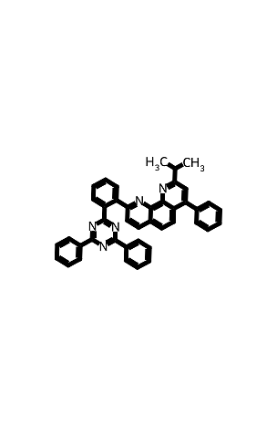 CC(C)c1cc(-c2ccccc2)c2ccc3ccc(-c4ccccc4-c4nc(-c5ccccc5)nc(-c5ccccc5)n4)nc3c2n1